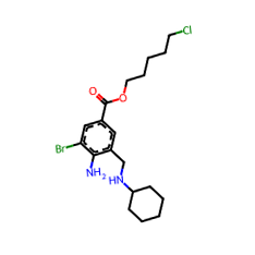 Nc1c(Br)cc(C(=O)OCCCCCCl)cc1CNC1CCCCC1